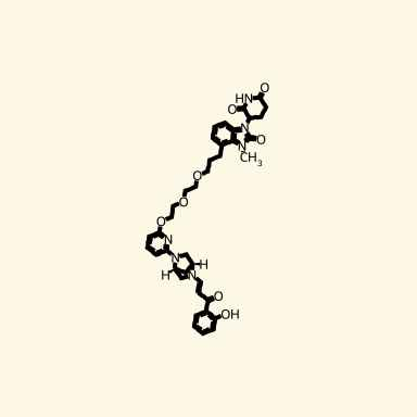 Cn1c(=O)n(C2CCC(=O)NC2=O)c2cccc(CCCOCCOCCOc3cccc(N4C[C@H]5C[C@@H]4CN5/C=C/C(=O)c4ccccc4O)n3)c21